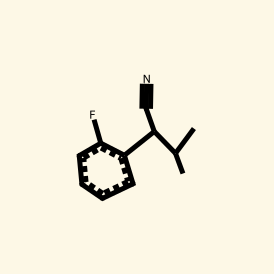 CC(C)C(C#N)c1ccccc1F